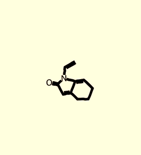 C=CN1C(=O)C=C2CCCC=C21